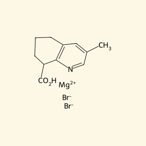 Cc1cnc2c(c1)CCCC2C(=O)O.[Br-].[Br-].[Mg+2]